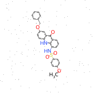 COc1ccc(S(=O)(=O)Nc2cccc3c(=O)c4cc(OCc5ccccc5)ccc4[nH]c23)cc1